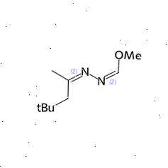 CO/C=N\N=C(\C)CC(C)(C)C